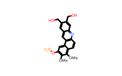 COc1c(OP)cc2c(ccc3nc4cc(CO)c(CO)cc4cc32)c1OC